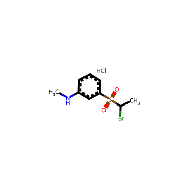 CNc1cccc(S(=O)(=O)C(C)Br)c1.Cl